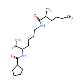 CCCCC(C)C(=O)NCCCCC(NC(=O)C1CCCC1)C(N)=O